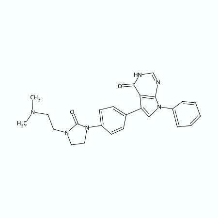 CN(C)CCN1CCN(c2ccc(-c3cn(-c4ccccc4)c4nc[nH]c(=O)c34)cc2)C1=O